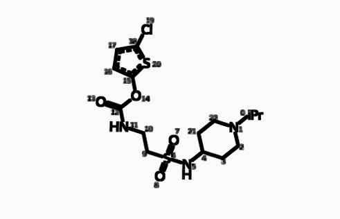 CC(C)N1CCC(NS(=O)(=O)CCNC(=O)Oc2ccc(Cl)s2)CC1